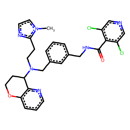 Cn1ccnc1CCN(Cc1cccc(CNC(=O)c2c(Cl)cncc2Cl)c1)C1CCOc2cccnc21